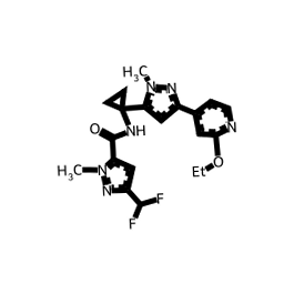 CCOc1cc(-c2cc(C3(NC(=O)c4cc(C(F)F)nn4C)CC3)n(C)n2)ccn1